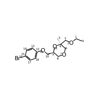 CCOC[C@@]1(C)COC[C@@H](COc2ccc(Br)cc2)O1